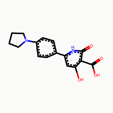 O=C(O)c1c(O)cc(-c2ccc(N3CCCC3)cc2)[nH]c1=O